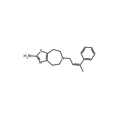 C/C(=C/CN1CCc2nc(N)sc2CC1)c1ccccc1